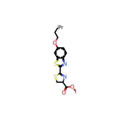 CC(C)CCOc1ccc2nc(C3=NC(C(=O)OI)CS3)sc2c1